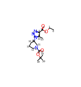 CCOC(=O)c1nnn([C@@H]2CCCN(C(=O)OC(C)(C)C)C2)c1C